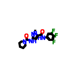 Cn1nc(NC(=O)N2CCCCC2)cc1C(=O)Nc1cc(F)c(F)c(F)c1